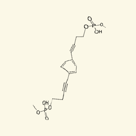 COP(=O)(O)OCCC#Cc1ccc(C#CCCOP(=O)(O)OC)cc1